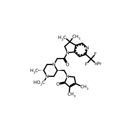 CCCC(F)(F)c1cc2c(cn1)C(C)(C)CN2C(=O)CN1C[C@@H](C)N(C(=O)O)C[C@@H]1CN1CC(C)=C(C)C1=O